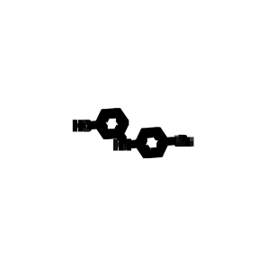 CC(C)(C)c1ccc(Nc2cccc(O)c2)cc1